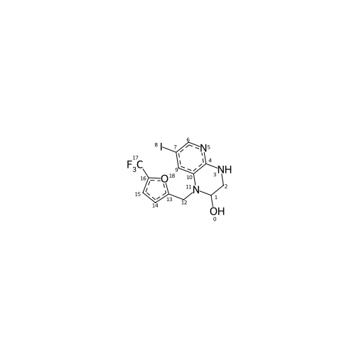 OC1CNc2ncc(I)cc2N1Cc1ccc(C(F)(F)F)o1